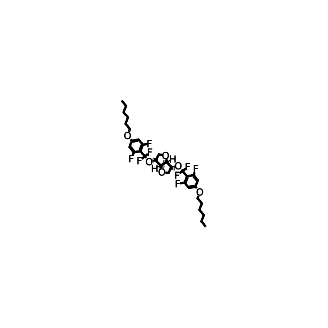 CCCCCCOc1cc(F)c(C(F)(F)O[C@H]2CO[C@@H]3[C@H]2OC[C@H]3OC(F)(F)c2c(F)cc(OCCCCCC)cc2F)c(F)c1